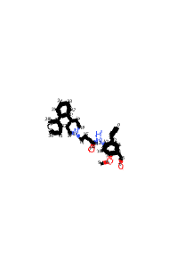 C#Cc1cc(C=O)c(OC)cc1NC(=O)CCN1CCC(c2ccccc2-c2ccccc2)CC1